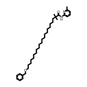 Cc1cccc(NC(=O)C(C)(C)CCCCCCCCCCCCCCCCCCCCOCc2ccccc2)n1